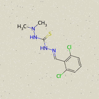 CN(C)NC(=S)NN=Cc1c(Cl)cccc1Cl